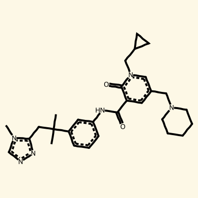 Cn1cnnc1CC(C)(C)c1cccc(NC(=O)c2cc(CN3CCCCC3)cn(CC3CC3)c2=O)c1